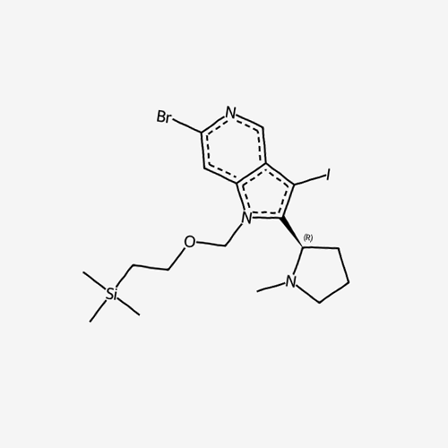 CN1CCC[C@@H]1c1c(I)c2cnc(Br)cc2n1COCC[Si](C)(C)C